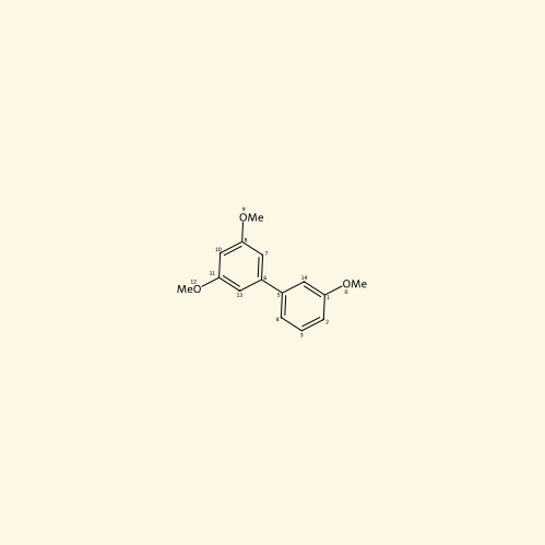 COc1cccc(-c2cc(OC)cc(OC)c2)c1